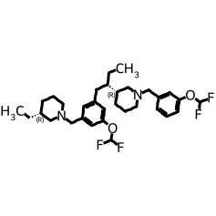 CCC(Cc1cc(CN2CCC[C@@H](CC)C2)cc(OC(F)F)c1)[C@H]1CCCN(Cc2cccc(OC(F)F)c2)C1